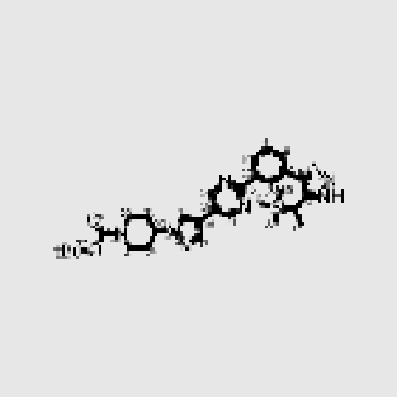 CC(c1[nH]nnc1-c1cccc(-c2ncc(-c3cnn(C4CCN(C(=O)OC(C)(C)C)CC4)c3)cn2)c1)[Si](C)(C)C